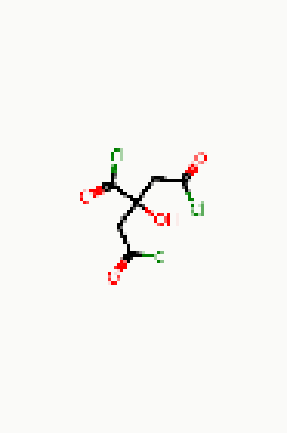 O=C(Cl)CC(O)(CC(=O)Cl)C(=O)Cl